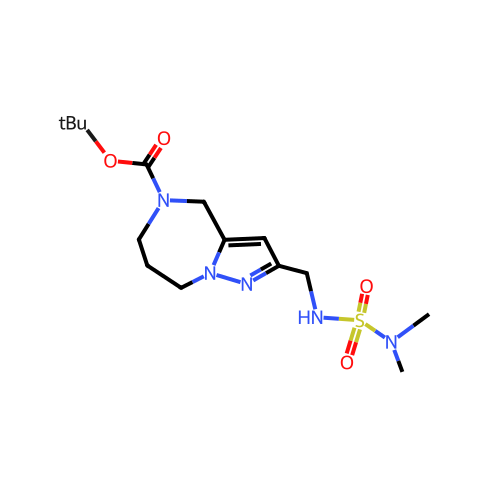 CN(C)S(=O)(=O)NCc1cc2n(n1)CCCN(C(=O)OC(C)(C)C)C2